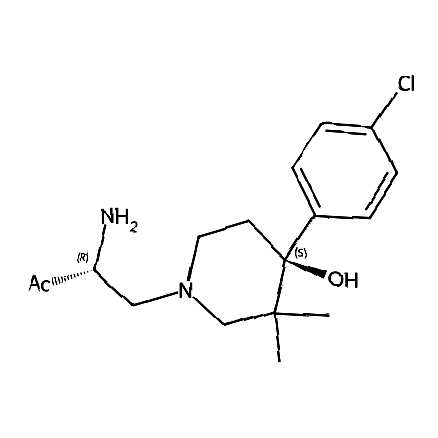 CC(=O)[C@H](N)CN1CC[C@](O)(c2ccc(Cl)cc2)C(C)(C)C1